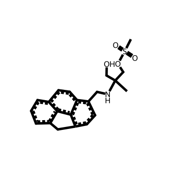 CC(CO)(COS(C)(=O)=O)NCc1ccc2c3c1ccc1cccc(c13)C2